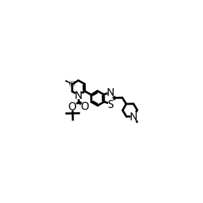 C[C@H]1CC=C(c2ccc3sc(CC4CCN(C)CC4)nc3c2)N(C(=O)OC(C)(C)C)C1